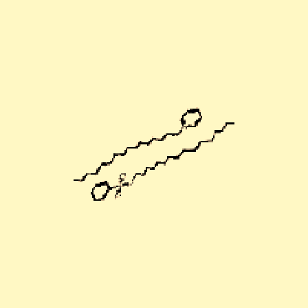 CCCCCCCCCCCCCCCCOS(=O)(=O)c1ccccc1.CCCCCCCCCCCCCCCC[n+]1ccccc1